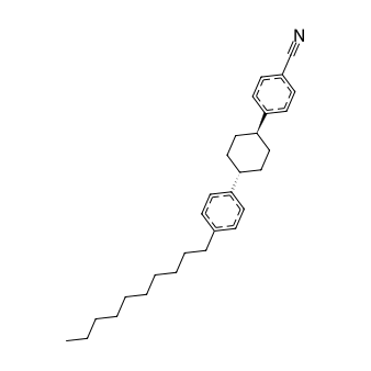 CCCCCCCCCCc1ccc([C@H]2CC[C@H](c3ccc(C#N)cc3)CC2)cc1